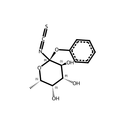 C[C@@H]1O[C@@](N=C=S)(Oc2ccccc2)[C@@H](O)[C@H](O)[C@@H]1O